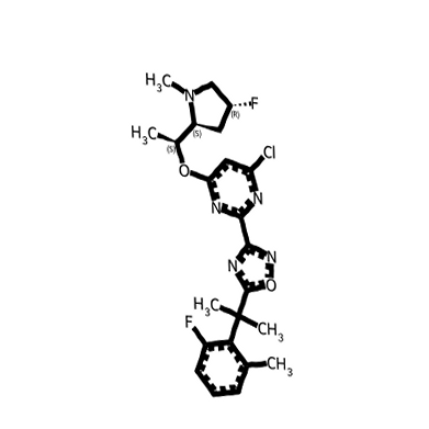 Cc1cccc(F)c1C(C)(C)c1nc(-c2nc(Cl)cc(O[C@@H](C)[C@@H]3C[C@@H](F)CN3C)n2)no1